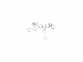 c1ccc(-c2ccc(N(c3ccc4c(c3)-c3ccc(-c5ccccc5)cc3C43C4CC5CC(C4)C3C5)c3ccc4oc5ccccc5c4c3)cc2)cc1